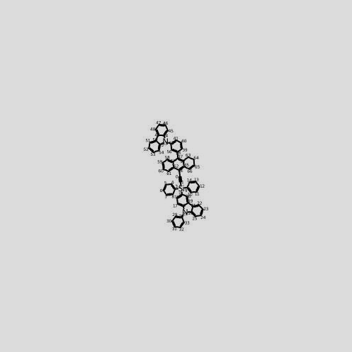 C(#C[Si](c1ccccc1)(c1ccccc1)c1ccc2c(c1)c1ccccc1n2-c1ccccc1)c1c2c(c(-c3cccc(-n4c5ccccc5c5ccccc54)c3)c3ccccc13)CCC=C2